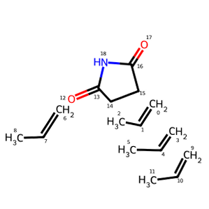 C=CC.C=CC.C=CC.C=CC.O=C1CCC(=O)N1